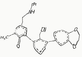 CCCNCc1cc(-c2cccc(-c3ccc4c(c3)OCCO4)c2C#N)c(=O)n(C)c1